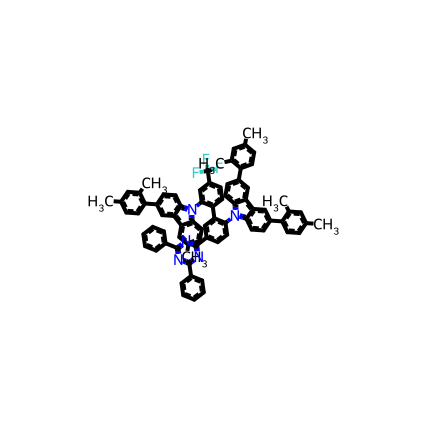 Cc1ccc(-c2ccc3c(c2)c2cc(C)ccc2n3-c2cc(C(F)(F)F)ccc2-c2cc(-c3nc(-c4ccccc4)nc(-c4ccccc4)n3)ccc2-n2c3ccc(-c4ccc(C)cc4C)cc3c3cc(-c4ccc(C)cc4C)ccc32)c(C)c1